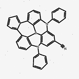 N#Cc1cc2c3c(c1)N(c1ccccc1)c1cccc4c1B3c1c(cccc1N2c1ccccc1)-c1ccccc1-4